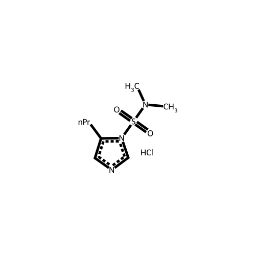 CCCc1cncn1S(=O)(=O)N(C)C.Cl